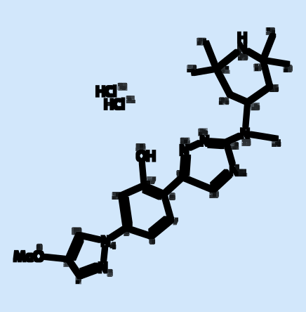 COc1cnn(-c2ccc(-c3cnc(N(C)C4CC(C)(C)NC(C)(C)C4)nn3)c(O)c2)c1.Cl.Cl